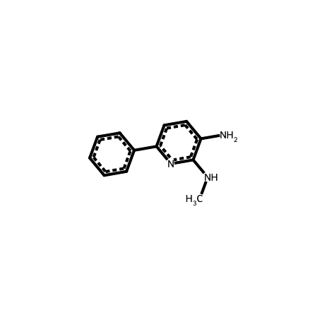 CNc1nc(-c2ccccc2)ccc1N